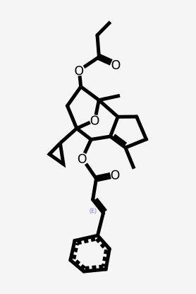 CCC(=O)OC1CC2(C3CC3)OC1(C)C1CCC(C)=C1C2OC(=O)/C=C/c1ccccc1